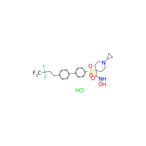 Cl.O=C(NO)C1(S(=O)(=O)c2ccc(-c3ccc(CCC(F)(F)C(F)(F)F)cc3)cc2)CCN(C2CC2)CC1